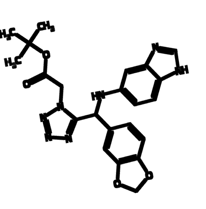 CC(C)(C)OC(=O)Cn1nnnc1C(Nc1ccc2[nH]cnc2c1)c1ccc2c(c1)OCO2